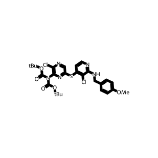 COc1ccc(CNc2nccc(Sc3cnc(Cl)c(N(C(=O)OC(C)(C)C)C(=O)OC(C)(C)C)n3)c2Cl)cc1